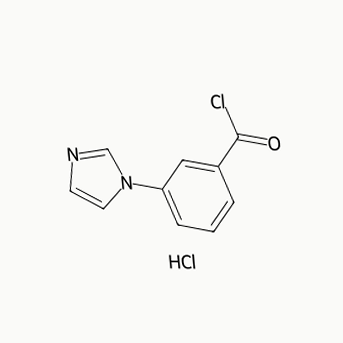 Cl.O=C(Cl)c1cccc(-n2ccnc2)c1